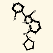 CC(=O)c1c(-c2ccccc2Br)nn2c(NC3CCCC3)cccc12